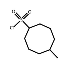 CC1CCCC(S(=O)(=O)Cl)CCC1